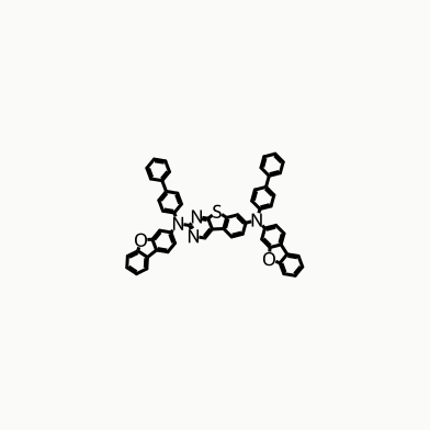 c1ccc(-c2ccc(N(c3ccc4c(c3)oc3ccccc34)c3ccc4c(c3)sc3nc(N(c5ccc(-c6ccccc6)cc5)c5ccc6c(c5)oc5ccccc56)ncc34)cc2)cc1